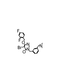 CN(C)Cc1cccc(Cn2cnc(OCc3ccc(F)cc3F)c(Br)c2=O)c1